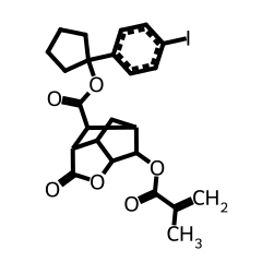 C=C(C)C(=O)OC1C2CC3C1OC(=O)C3C2C(=O)OC1(c2ccc(I)cc2)CCCC1